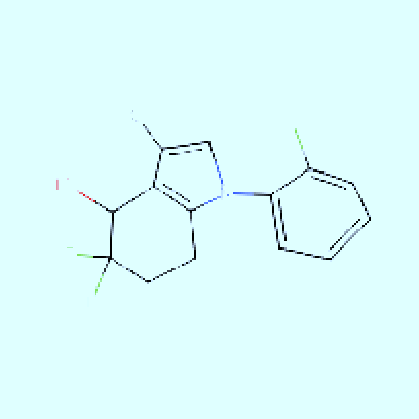 OC1c2c(C(F)(F)F)cn(-c3ccccc3F)c2CCC1(F)F